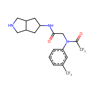 O=C(CN(C(=O)C(F)(F)F)c1cccc(C(F)(F)F)c1)NC1CC2CNCC2C1